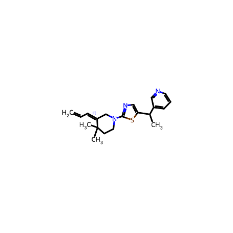 C=C/C=C1/CN(c2ncc(C(C)c3cccnc3)s2)CCC1(C)C